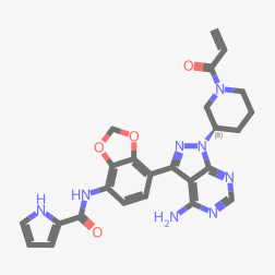 C=CC(=O)N1CCC[C@@H](n2nc(-c3ccc(NC(=O)c4ccc[nH]4)c4c3OCO4)c3c(N)ncnc32)C1